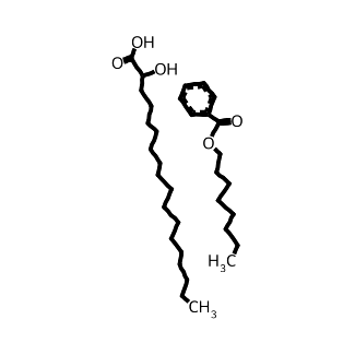 CCCCCCCCCCCCCCCCC(O)C(=O)O.CCCCCCCCOC(=O)c1ccccc1